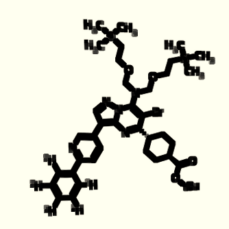 [2H]c1c([2H])c([2H])c(-c2ccc(-c3cnn4c(N(COCC[Si](C)(C)C)COCC[Si](C)(C)C)c(Br)c([C@H]5CC[C@H](C(=O)OC(C)(C)C)CC5)nc34)cn2)c([2H])c1[2H]